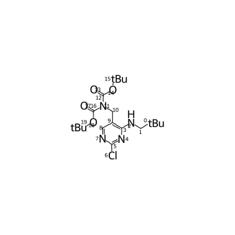 CC(C)(C)CNc1nc(Cl)ncc1CN(C(=O)OC(C)(C)C)C(=O)OC(C)(C)C